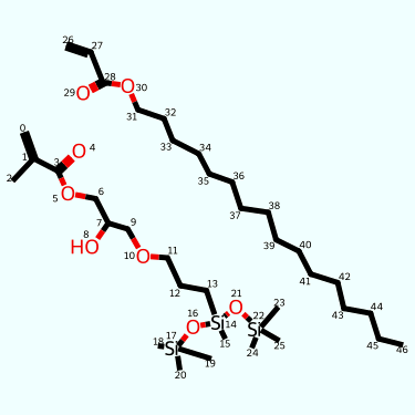 C=C(C)C(=O)OCC(O)COCCC[Si](C)(O[Si](C)(C)C)O[Si](C)(C)C.C=CC(=O)OCCCCCCCCCCCCCCCC